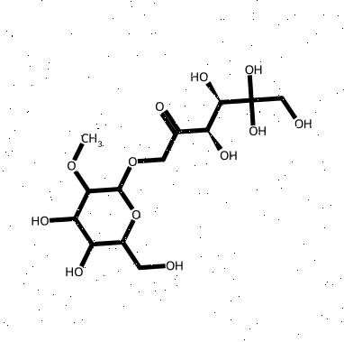 COC1C(OCC(=O)[C@H](O)[C@@H](O)C(O)(O)CO)OC(CO)C(O)C1O